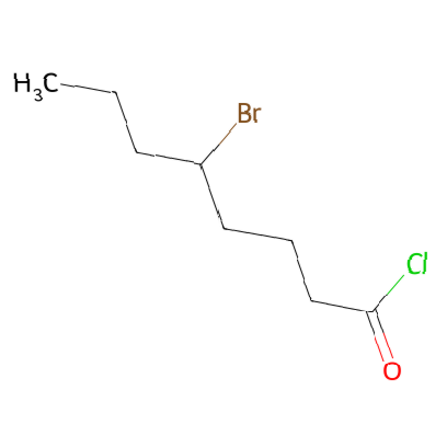 CCCC(Br)CCCC(=O)Cl